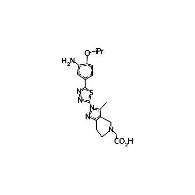 Cc1c2c(nn1-c1nnc(-c3ccc(OC(C)C)c(N)c3)s1)CCN(CC(=O)O)C2